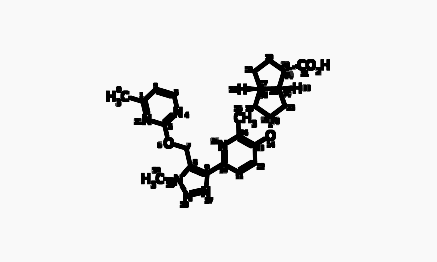 Cc1ccnc(OCc2c(-c3ccc(O[C@@H]4C[C@@H]5CC[C@H](C(=O)O)[C@@H]5C4)c(C)n3)nnn2C)n1